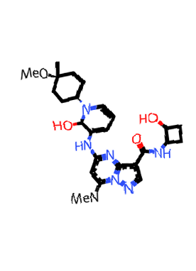 CNc1cc(NC2=CC=CN([C@H]3CC[C@](C)(OC)CC3)C2O)nc2c(C(=O)NC3CCC3O)cnn12